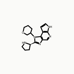 c1cc2c(ncc3nc([C@H]4CCCN4)n(C4CCCOC4)c32)[nH]1